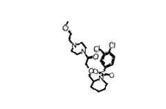 COCCN1CCN(C(=O)COCC2CCCCN2S(=O)(=O)c2ccc(Cl)c(Cl)c2)CC1